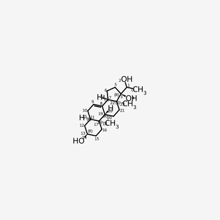 CC(O)[C@@]1(O)CC[C@H]2C3=CC[C@@H]4C[C@H](O)CC[C@]4(C)[C@H]3CC[C@@]21C